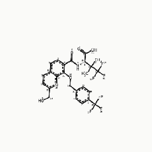 CC(C)([C@H](NC(=O)c1ccc2ccc(CO)nc2c1OCc1ccc(C(F)(F)F)cc1)C(=O)O)C(F)(F)F